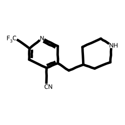 N#Cc1cc(C(F)(F)F)ncc1CC1CCNCC1